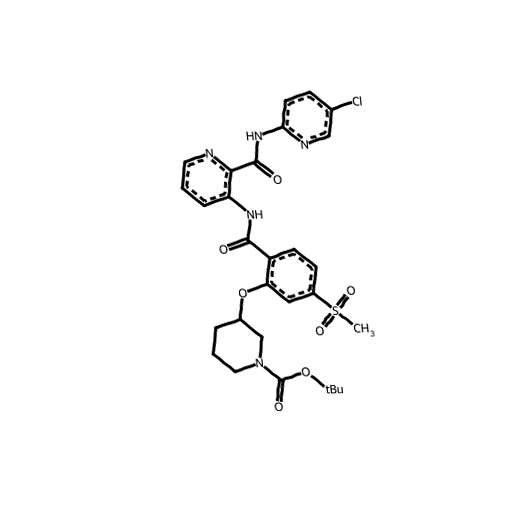 CC(C)(C)OC(=O)N1CCCC(Oc2cc(S(C)(=O)=O)ccc2C(=O)Nc2cccnc2C(=O)Nc2ccc(Cl)cn2)C1